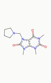 Cn1c(=O)c2c(n(C)c1=O)n(C)c(=O)n2CN1CCCC1